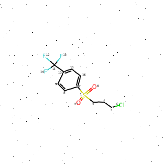 O=S(=O)(CCCCl)c1ccc(C(F)(F)F)cc1